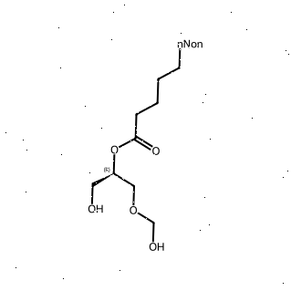 CCCCCCCCCCCCCC(=O)O[C@H](CO)COCO